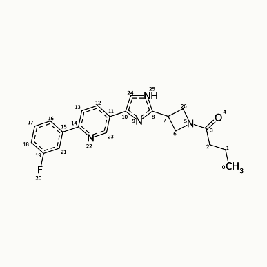 CCCC(=O)N1CC(c2nc(-c3ccc(-c4cccc(F)c4)nc3)c[nH]2)C1